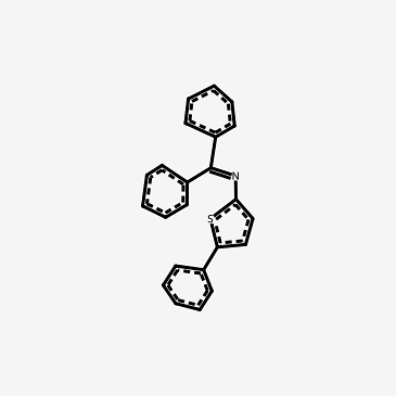 c1ccc(C(=Nc2ccc(-c3ccccc3)s2)c2ccccc2)cc1